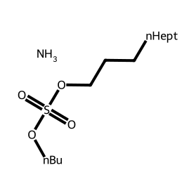 CCCCCCCCCCOS(=O)(=O)OCCCC.N